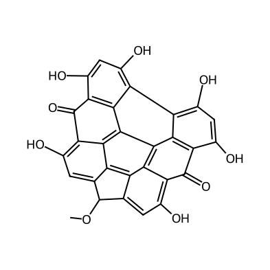 COC1c2cc(O)c3c(=O)c4c(O)cc(O)c5c6c(O)cc(O)c7c(=O)c8c(O)cc1c1c2c3c(c45)c(c76)c81